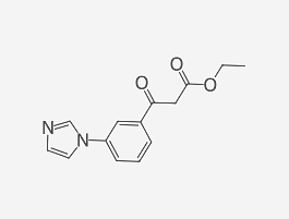 CCOC(=O)CC(=O)c1cccc(-n2ccnc2)c1